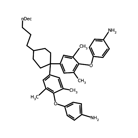 CCCCCCCCCCCCCC1CCC(c2cc(C)c(Oc3ccc(N)cc3)c(C)c2)(c2cc(C)c(Oc3ccc(N)cc3)c(C)c2)CC1